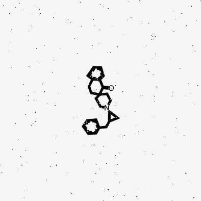 O=C1c2ccccc2CCC12CCN(C1CC1Cc1ccccc1)CC2